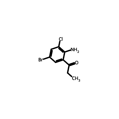 CCC(=O)c1cc(Br)cc(Cl)c1N